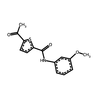 COc1cccc(NC(=O)c2ccc(C(C)=O)s2)c1